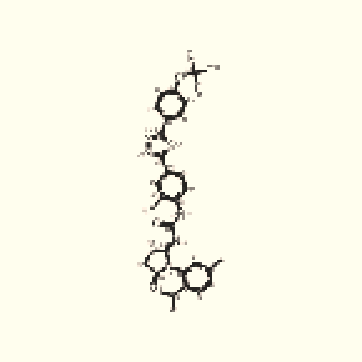 Cc1ccc(C(C)C)c(N2C(=O)CS/C2=N\C(=O)Nc2ccc(-c3nnc(-c4ccc(OC(F)(F)F)cc4)s3)cc2F)c1